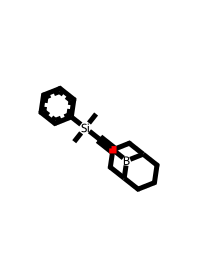 C[Si](C)(C#CB1C2CCCC1CCC2)c1ccccc1